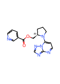 O=C(OC[C@H]1CCCN1c1ccnc2ncnn12)c1cccnc1